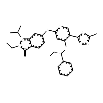 CCn1c(=O)c2ccc(Nc3cc(N[C@H](CO)c4ccccc4)c(-c4nc(C)no4)cn3)cc2n1C(C)C